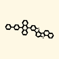 c1ccc(-c2ccc(-c3c4ccccc4c(-c4ccc5sc6c(ccc7sc8c9ccccc9ccc8c76)c5c4)c4ccccc34)cc2)cc1